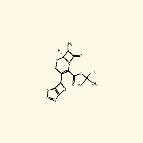 CC(C)(C)OC(=O)C1=C(C2Sc3nnsc32)CS[C@H]2C(N)C(=O)N12